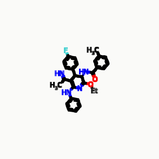 CCOC1=NC(Nc2ccccc2)=C(C(C)=N)C(c2ccc(F)cc2)[C@@H]1NC(=O)c1cccc(C)c1